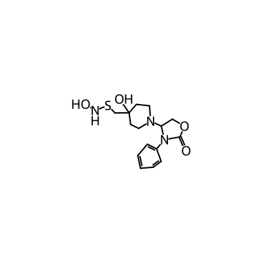 O=C1OCC(N2CCC(O)(CSNO)CC2)N1c1ccccc1